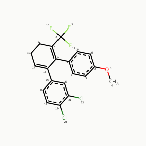 COc1ccc(C2=C(C(F)(F)F)[CH]CC=C2c2ccc(Cl)c(Cl)c2)cc1